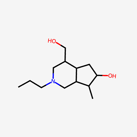 CCCN1CC(CO)C2CC(O)C(C)C2C1